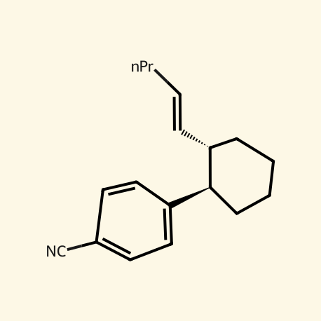 CCCC=C[C@@H]1CCCC[C@H]1c1ccc(C#N)cc1